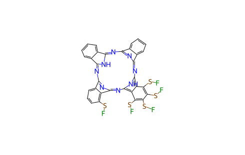 FSc1cccc2c1-c1nc-2nc2[nH]c(nc3nc(nc4[nH]c(n1)c1c(SF)c(SF)c(SF)c(SF)c41)-c1ccccc1-3)c1ccccc21